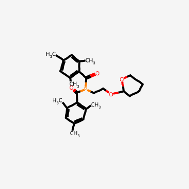 Cc1cc(C)c(C(=O)P(CCOC2CCCCO2)C(=O)c2c(C)cc(C)cc2C)c(C)c1